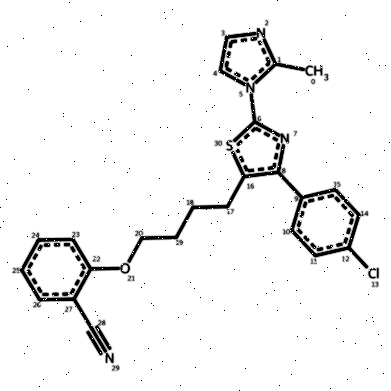 Cc1nccn1-c1nc(-c2ccc(Cl)cc2)c(CCCCOc2ccccc2C#N)s1